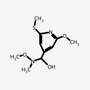 COc1cc(C(O)N(C)OC)cc(SC)n1